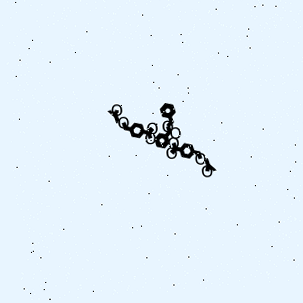 O=C(OCc1ccccc1)c1cc(OC(=O)C2CCC(COCC3CO3)CC2)ccc1OC(=O)C1CCC(COCC2CO2)CC1